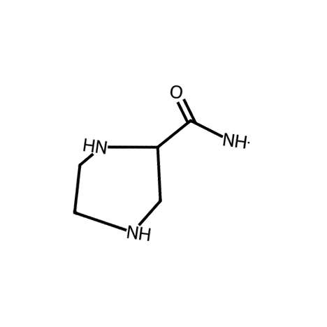 [NH]C(=O)C1CNCCN1